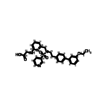 CCOc1cccc(-c2ccc(CCN(Cc3cccc(NCC(=O)O)n3)S(=O)(=O)c3cccnc3)cc2)c1